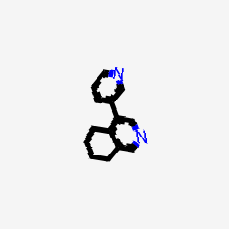 c1cncc(-c2cncc3c2CCCC3)c1